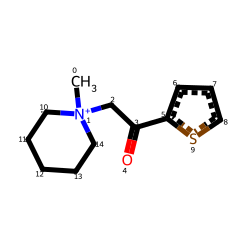 C[N+]1(CC(=O)c2cccs2)[CH]CCCC1